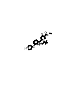 CCOC(=O)c1cn2c(cc1=O)-c1c3cccc(OC4CCNCC4)c3nn1CC2C(C)(C)C